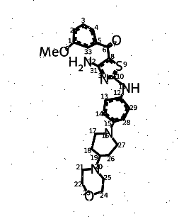 COc1cccc(C(=O)c2sc(Nc3ccc(N4CCC(N5CCOCC5)CC4)cc3)nc2N)c1